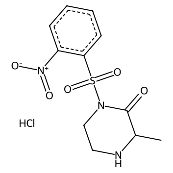 CC1NCCN(S(=O)(=O)c2ccccc2[N+](=O)[O-])C1=O.Cl